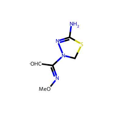 CON=C([C]=O)N1CSC(N)=N1